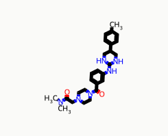 Cc1ccc(C2CNC(Nc3cccc(C(=O)N4CCN(CC(=O)N(C)C)CC4)c3)NC2)cc1